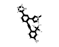 Cn1cc(-c2cc(-c3nnn[nH]3)ccc2C#Cc2ccc(O)cc2C(F)(F)F)cn1